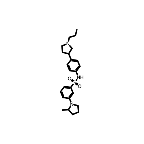 CCCN1CCC(c2ccc(NS(=O)(=O)c3cccc(N4CCCC4C)c3)cc2)C1